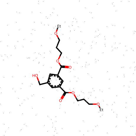 CCOCCCOC(=O)c1cc(CO)cc(C(=O)OCCCOCC)c1